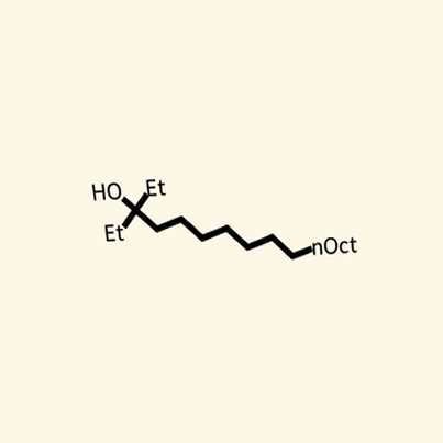 CCCCCCCCCCCCCCCC(O)(CC)CC